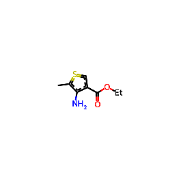 CCOC(=O)c1csc(C)c1N